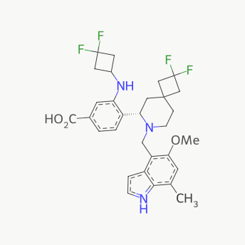 COc1cc(C)c2[nH]ccc2c1CN1CCC2(C[C@H]1c1ccc(C(=O)O)cc1NC1CC(F)(F)C1)CC(F)(F)C2